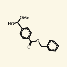 COC(O)c1ccc(C(=O)OCc2ccccc2)cc1